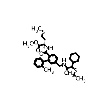 CCSC(C1CCCCC1)C(C)NCc1ccc(C(=O)N[C@@H](CCSC)C(=O)OC)c(-c2ccccc2C)c1